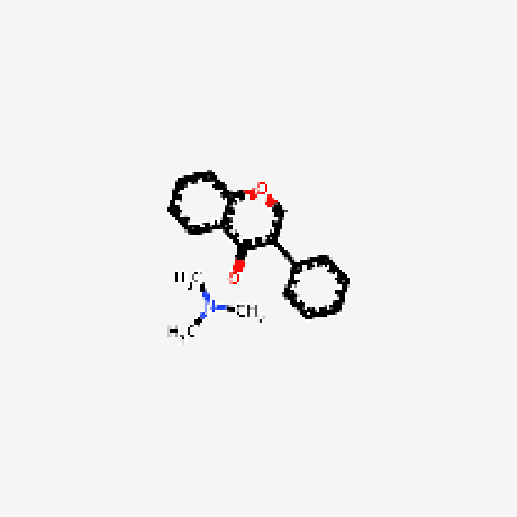 CN(C)C.O=c1c(-c2ccccc2)coc2ccccc12